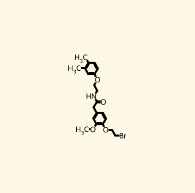 COc1cc(CC(=O)NCCOc2ccc(C)c(C)c2)ccc1OCCBr